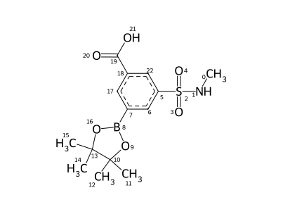 CNS(=O)(=O)c1cc(B2OC(C)(C)C(C)(C)O2)cc(C(=O)O)c1